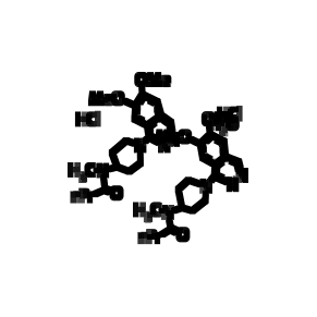 CCCC(=O)N(C)C1CCN(c2nncc3cc(OC)c(OC)cc23)CC1.CCCC(=O)N(C)C1CCN(c2nncc3cc(OC)c(OC)cc23)CC1.Cl.Cl.O